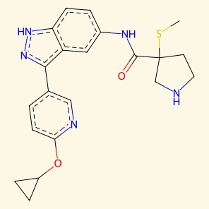 CSC1(C(=O)Nc2ccc3[nH]nc(-c4ccc(OC5CC5)nc4)c3c2)CCNC1